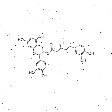 O=C(CC(O)CCc1ccc(O)c(O)c1)OC1Cc2c(O)cc(O)cc2OC1c1ccc(O)c(O)c1